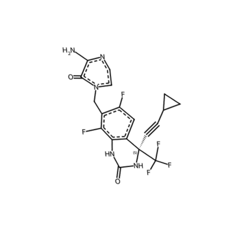 Nc1nccn(Cc2c(F)cc3c(c2F)NC(=O)N[C@]3(C#CC2CC2)C(F)(F)F)c1=O